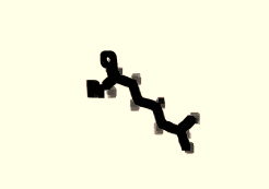 CC(C)CCCCC(=O)Br